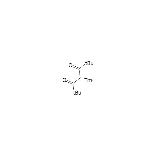 CC(C)(C)C(=O)CC(=O)C(C)(C)C.[Tm]